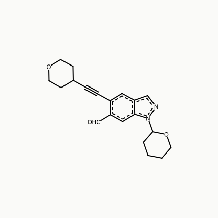 O=Cc1cc2c(cnn2C2CCCCO2)cc1C#CC1CCOCC1